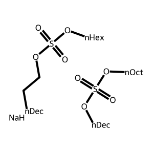 CCCCCCCCCCCCOS(=O)(=O)OCCCCCC.CCCCCCCCCCOS(=O)(=O)OCCCCCCCC.[NaH]